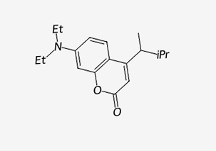 CCN(CC)c1ccc2c(C(C)C(C)C)cc(=O)oc2c1